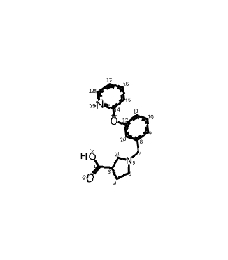 O=C(O)C1CCN(Cc2cccc(Oc3ccccn3)c2)C1